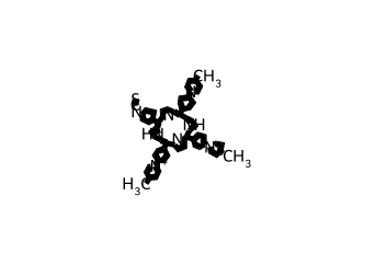 Cc1cc[n+](-c2ccc(-c3c4nc(c(-c5ccc(-[n+]6ccc(C)cc6)cc5)c5ccc([nH]5)c(-c5ccc(-[n+]6ccc(C)cc6)cc5)c5nc(c(-c6ccc(N=C=S)cc6)c6ccc3[nH]6)C=C5)C=C4)cc2)cc1